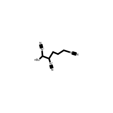 CCCCC([N+]#N)C(CCC[N+]#N)[N+]#N